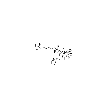 CC[N+](CC)(CC)CC.O=S(=O)([O-])C(F)(F)C(F)(F)C(F)(F)C(F)(F)C(F)(F)CCCCCCC(F)(F)F